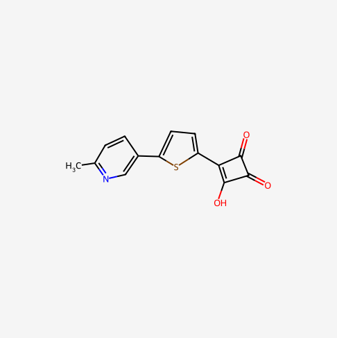 Cc1ccc(-c2ccc(-c3c(O)c(=O)c3=O)s2)cn1